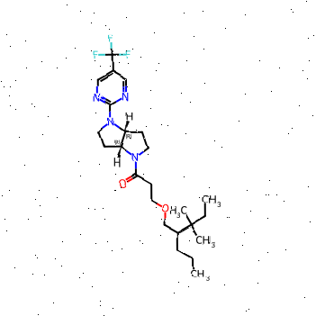 CCCC(COCCC(=O)N1CC[C@@H]2[C@H]1CCN2c1ncc(C(F)(F)F)cn1)C(C)(C)CC